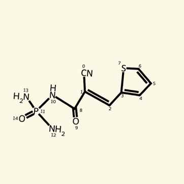 N#C/C(=C\c1cccs1)C(=O)NP(N)(N)=O